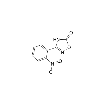 O=c1[nH]c(-c2ccccc2[N+](=O)[O-])no1